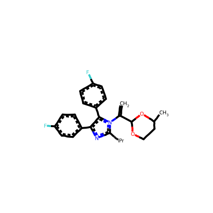 C=C(C1OCCC(C)O1)n1c(C(C)C)nc(-c2ccc(F)cc2)c1-c1ccc(F)cc1